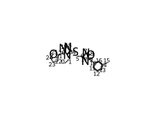 CCn1c(SCc2noc(-c3cccc(C)c3)n2)nnc1C1CCCO1